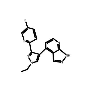 CCn1cc(-c2ccnc3[nH]ncc23)c(-c2ccc(F)cn2)n1